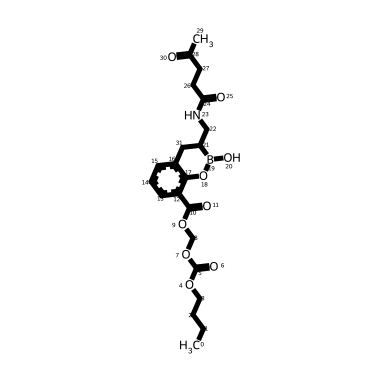 CCCCOC(=O)OCOC(=O)c1cccc2c1OB(O)C(CNC(=O)CCC(C)=O)C2